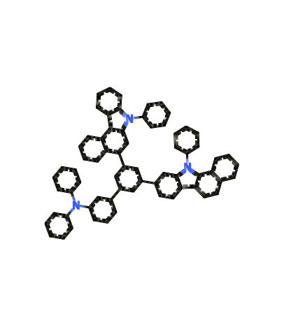 c1ccc(N(c2ccccc2)c2cccc(-c3cc(-c4ccc5c6ccc7ccccc7c6n(-c6ccccc6)c5c4)cc(-c4cc5c(c6ccccc46)c4ccccc4n5-c4ccccc4)c3)c2)cc1